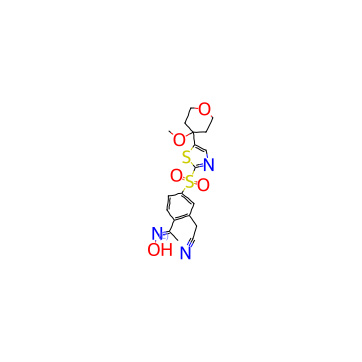 COC1(c2cnc(S(=O)(=O)c3ccc(/C(C)=N/O)c(CC#N)c3)s2)CCOCC1